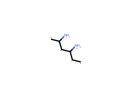 [CH2]CC(N)CC(C)N